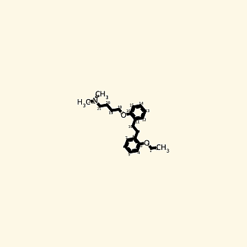 CCOc1ccccc1CCc1ccccc1OCCCCN(C)C